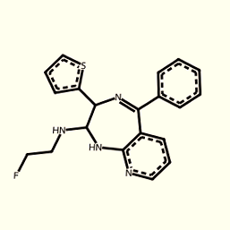 FCCNC1Nc2ncccc2C(c2ccccc2)=NC1c1cccs1